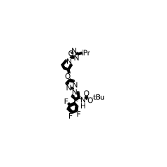 CC(C)c1noc(N2CCCC(COc3cnc(N4C[C@H](NC(=O)OC(C)(C)C)[C@@H](c5cc(F)c(F)cc5F)C4)nc3)C2)n1